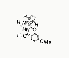 COc1ccc([C@@H](C)NC(=O)[C@H]2[C@@H](N)[C@@H]3C=C[C@H]2C3)cc1